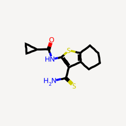 NC(=S)c1c(NC(=O)C2CC2)sc2c1CCCC2